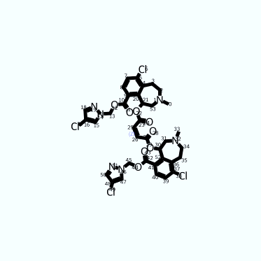 CN1CCc2c(Cl)ccc(C(=O)OCn3cc(Cl)cn3)c2C(OC(=O)/C=C\C(=O)OC2CN(C)CCc3c(Cl)ccc(C(=O)OCn4cc(Cl)cn4)c32)C1